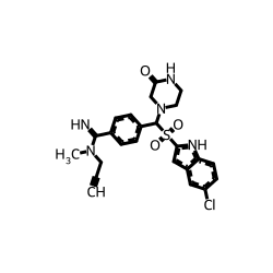 C#CCN(C)C(=N)c1ccc(C(N2CCNC(=O)C2)S(=O)(=O)c2cc3cc(Cl)ccc3[nH]2)cc1